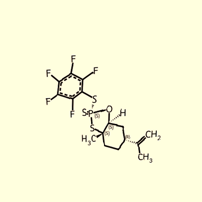 C=C(C)[C@@H]1CC[C@]2(C)S[P@](=S)(Sc3c(F)c(F)c(F)c(F)c3F)O[C@H]2C1